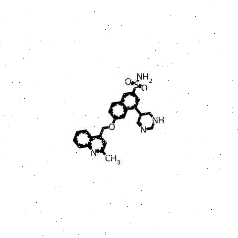 Cc1cc(COc2ccc3cc(S(N)(=O)=O)cc(C4C=NCNC4)c3c2)c2ccccc2n1